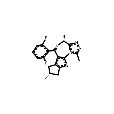 Cc1nnc2n1-c1sc3c(c1C(c1c(F)cccc1F)=N[C@H]2C)C[C@@H](C)C3